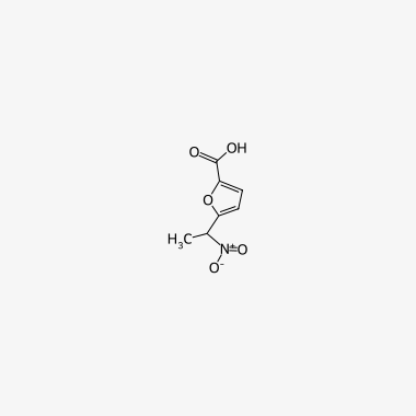 CC(c1ccc(C(=O)O)o1)[N+](=O)[O-]